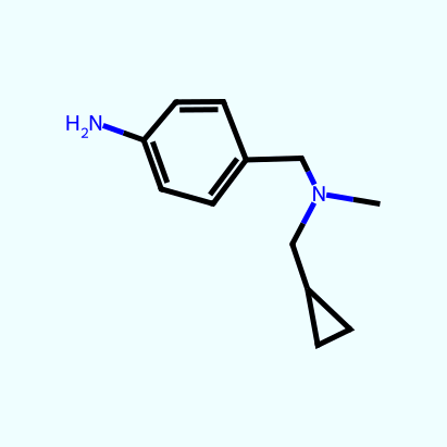 CN(Cc1ccc(N)cc1)CC1CC1